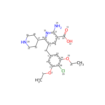 CCOc1cc(Cc2cc(C(=O)O)c(N)nc2C2CCNCC2)cc(OCC)c1Cl